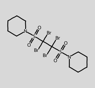 O=S(=O)(N1CCCCC1)C(Br)(Br)C(Br)(Br)S(=O)(=O)N1CCCCC1